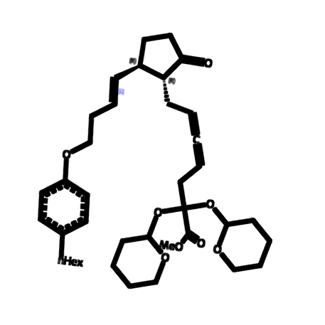 CCCCCCc1ccc(OCC/C=C/[C@H]2CCC(=O)[C@@H]2CC=C=CCC(OC2CCCCO2)(OC2CCCCO2)C(=O)OC)cc1